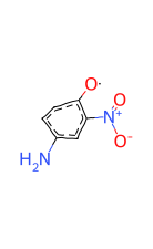 Nc1ccc([O])c([N+](=O)[O-])c1